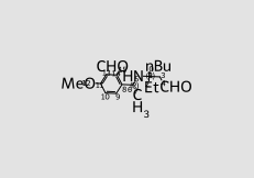 CCCC[C@](CC)(CC=O)N[C@H](C)c1ccc(OC)cc1C=O